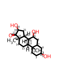 C[C@]12CCC(O)CC1CC(O)[C@@H]1[C@H]2CC[C@]2(C)C(=O)C(O)C[C@@H]12